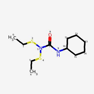 CCSN(SCC)C(=O)NC1CCCCC1